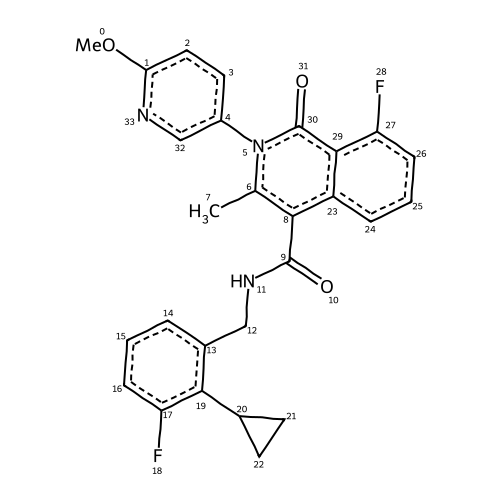 COc1ccc(-n2c(C)c(C(=O)NCc3cccc(F)c3C3CC3)c3cccc(F)c3c2=O)cn1